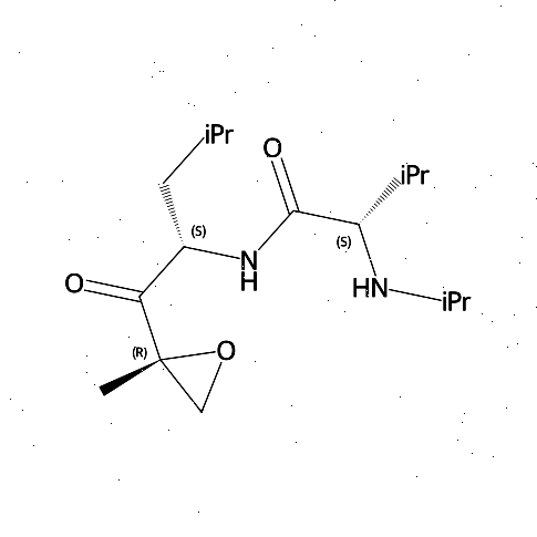 CC(C)C[C@H](NC(=O)[C@@H](NC(C)C)C(C)C)C(=O)[C@@]1(C)CO1